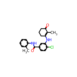 CC1=C(Nc2cc(C(=O)Nc3ccccc3C)ccc2Cl)CCCC1=O